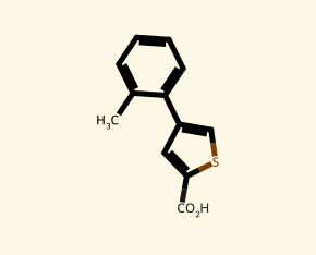 Cc1ccccc1-c1csc(C(=O)O)c1